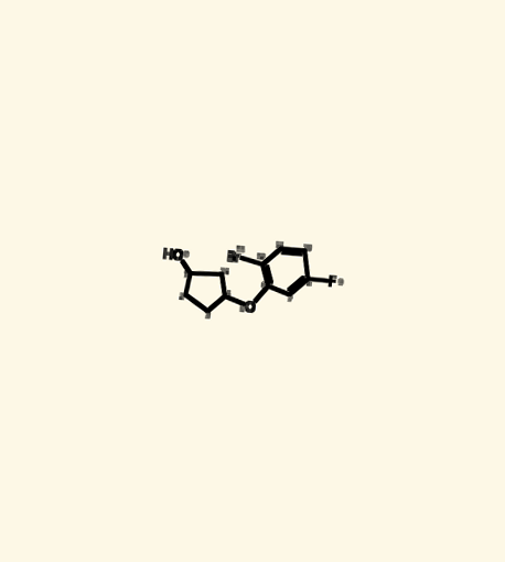 OC1CCC(Oc2cc(F)ccc2Br)C1